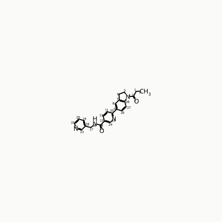 CCC(=O)N1CCc2cc(-c3ccc(C(=O)NCc4cccnc4)cn3)ccc21